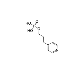 O=P(O)(O)OCCCc1ccncc1